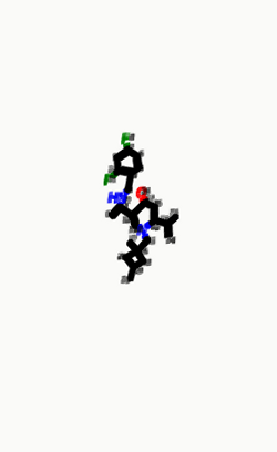 C=C(NCc1ccc(F)cc1F)c1cn(CC2(C)CC(C)C2)c(C(=C)C)cc1=O